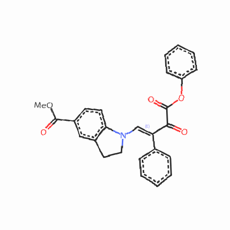 COC(=O)c1ccc2c(c1)CCN2/C=C(/C(=O)C(=O)Oc1ccccc1)c1ccccc1